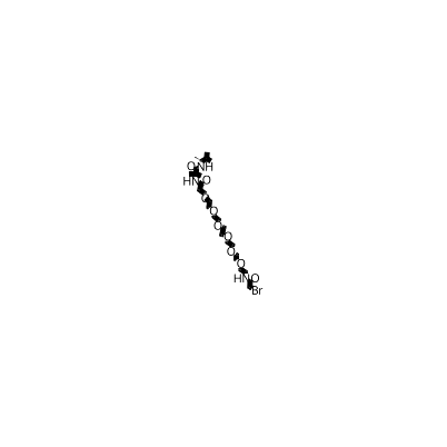 CC(C)[C@@H](C)NC(=O)C(C)(C)NC(=O)CCOCCOCCOCCOCCOCCOCCNC(=O)CBr